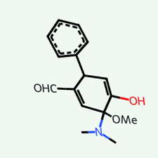 COC1(N(C)C)C=C(C=O)C(c2ccccc2)C=C1O